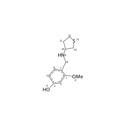 COc1cc(O)ccc1CNC1CCSC1